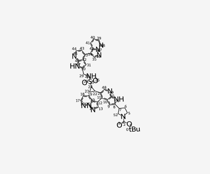 CC(C)(C)OC(=O)N1CCC(c2cc3c(-c4cnn5ncccc45)c(C4CC4S(=O)(=O)NCc4cc5c(-c6cnn7ncccc67)ccnc5[nH]4)cnc3[nH]2)C1